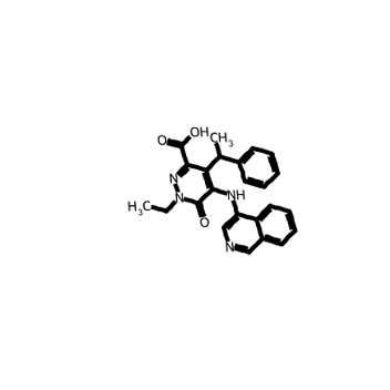 CCn1nc(C(=O)O)c(C(C)c2ccccc2)c(Nc2cncc3ccccc23)c1=O